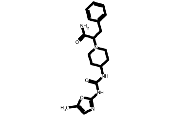 Cc1cnc(NC(=O)NC2CCN(C(Cc3ccccc3)C(N)=O)CC2)o1